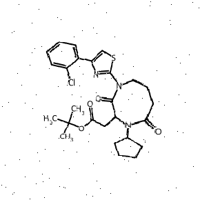 CC(C)(C)OC(=O)CC1C(=O)N(c2nc(-c3ccccc3Cl)cs2)CCCC(=O)N1C1CCCC1